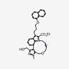 CCOC(=O)c1c(CCCOc2cccc3ccccc23)c2cccc3c2n1C/C=C\COCc1c-3c(CO)nn1C